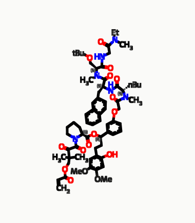 C=CC(=O)OCC(C)(C)C(=O)C(=O)N1CCCC[C@H]1C(=O)O[C@H](CCc1cc(OC)c(OC)cc1O)c1cccc(OCC(=O)N(C)[C@@H](CCCC)C(=O)N[C@@H](Cc2ccc3ccccc3c2)C(=O)N(C)[C@@H](COC(C)(C)C)C(=O)NCC(=O)N(C)CC)c1